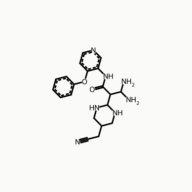 N#CCC1CNC(C(C(=O)Nc2cnccc2Oc2ccccc2)C(N)N)NC1